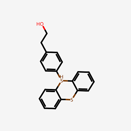 OCCc1ccc([SH]2c3ccccc3Sc3ccccc32)cc1